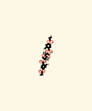 C=CC(=O)Oc1ccc(C(=O)O[C@H]2CO[C@@H]3[C@H]2OC[C@H]3OC(=O)c2ccc(OC(=O)C=C)cc2C)c(C)c1